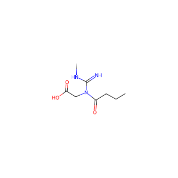 CCCC(=O)N(CC(=O)O)C(=N)NC